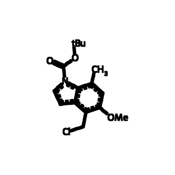 COc1cc(C)c2c(ccn2C(=O)OC(C)(C)C)c1CCl